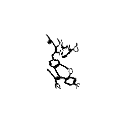 COc1ccn2c(Cc3ccc4c(c3)COc3cc(F)ccc3C4=C(C)C#N)c(C(C)C)nc2n1